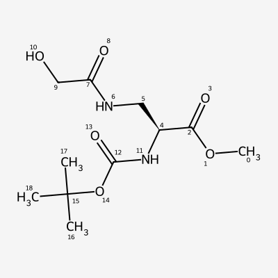 COC(=O)[C@H](CNC(=O)CO)NC(=O)OC(C)(C)C